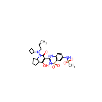 C=CCN(C1CCC1)N1C(=O)C(C2=NS(=O)(=O)c3cc(NS(C)(=O)=O)ccc3N2)=C(O)C2CCCC21